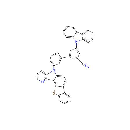 N#Cc1cc(-c2cccc(-n3c4cccnc4c4c5sc6ccccc6c5ccc43)c2)cc(-n2c3ccccc3c3ccccc32)c1